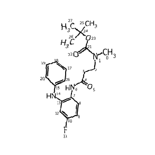 CN(CCC(=O)Nc1ccc(F)cc1Nc1ccccc1)C(=O)OC(C)(C)C